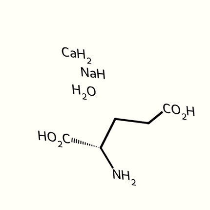 N[C@@H](CCC(=O)O)C(=O)O.O.[CaH2].[NaH]